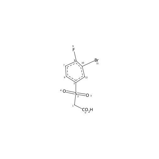 O=C(O)CS(=O)(=O)c1ccc(F)c(Br)c1